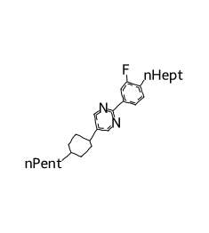 CCCCCCCc1ccc(-c2ncc(C3CCC(CCCCC)CC3)cn2)cc1F